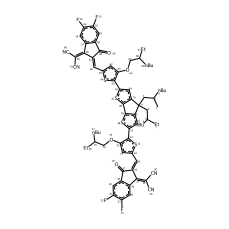 CCCCC(C)CC1(CC(CC)CCCC)c2cc(-c3sc(/C=C4\C(=O)c5cc(F)c(F)cc5C4=C(C#N)C#N)cc3OCC(CC)CCCC)sc2-c2sc(-c3sc(/C=C4\C(=O)c5cc(F)c(F)cc5C4=C(C#N)C#N)cc3OCC(CC)CCCC)cc21